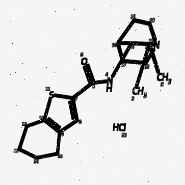 CC1(C)C(NC(=O)c2cc3c(s2)CCCC3)C2CCN1CC2.Cl